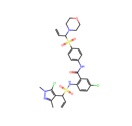 C=CC(c1c(C)nn(C)c1Cl)S(=O)(=O)Nc1ccc(Cl)cc1C(=O)Nc1ccc(S(=O)(=O)C(C=C)N2CCOCC2)cc1